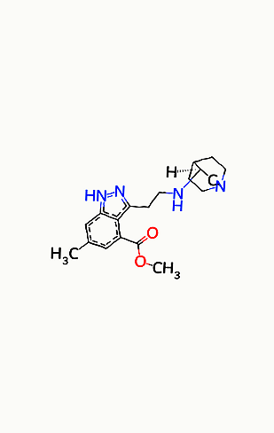 COC(=O)c1cc(C)cc2[nH]nc(CCN[C@@H]3CN4CCC3CC4)c12